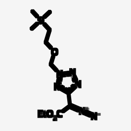 CCOC(=O)C(=[N+]=[N-])c1nnn(COCC[Si](C)(C)C)n1